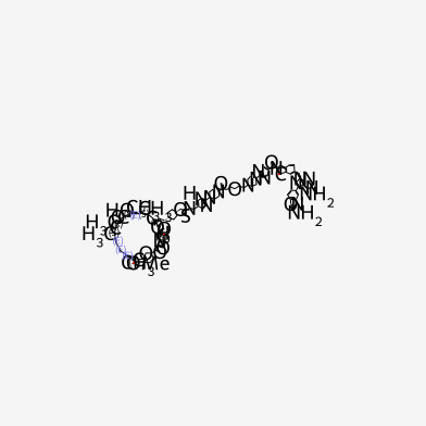 CO[C@H]1CC2CCCC(O2)C(=O)C(=O)N2CCCC[C@H]2C(=O)O[C@H](CC[C@H]2CC[C@H](OC(=S)NCc3cnc(N4CCN(C(=O)CCOCCN5CCN(c6ncc(C(=O)N7CCc8cc(Cn9nc(-c%10ccc%11oc(N)nc%11c%10)c%10c(N)ncnc%109)ccc8C7)cn6)CC5)CC4)nc3)CC2)CC[C@H](C)/C=C(\C)[C@@H](O)CC(=O)[C@H](C)C[C@H](C)/C=C/C=C/C=C/1C